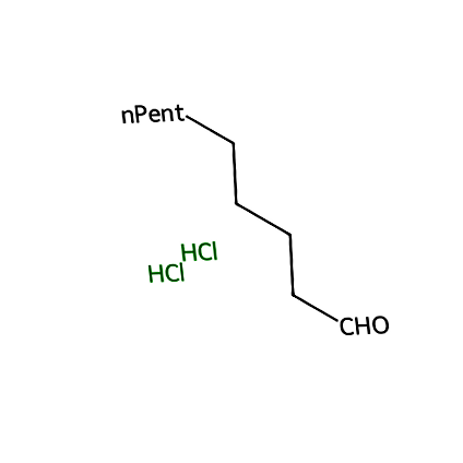 CCCCCCCCCC=O.Cl.Cl